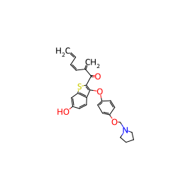 C=C/C=C\C(=C)C(=O)c1sc2cc(O)ccc2c1Oc1ccc(OCN2CCCC2)cc1